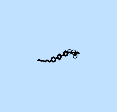 C=CC(=O)OCOc1ccc(-c2ccc(C3CCC(CCCCCCC)CC3)cc2)cc1